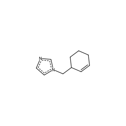 C1=CC(Cn2ccnc2)CCC1